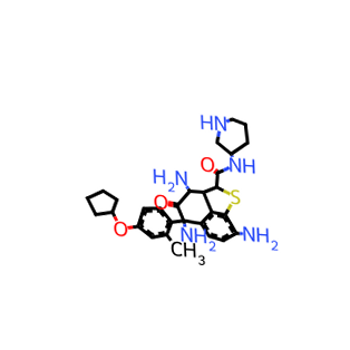 Cc1cc(OC2CCCC2)ccc1C1(N)C(=O)C(N)C2c3c1ccc(N)c3SC2C(=O)NC1CCCNC1